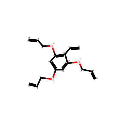 C=CCOc1cc(OCC=C)c(C=C)c(OCC=C)c1